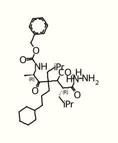 CC(C)C[C@@H](C(=O)NN)C(C(=O)O)C(CCCC1CCCCC1)(CC(C)C)C(=O)[C@@H](C)NC(=O)OCc1ccccc1